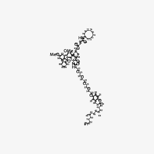 COc1ccc(C(OC[C@H](NC(=O)CCOCCOCCOCCOCCOc2c(C)c(C)c3c(c2C)CC[C@@](C)(CCC[C@H](C)CCC[C@H](C)CCCC(C)C)O3)C(=O)N2CCC(COC(=O)CCC(=O)NC3CCCCCCCCC3)CC2)(c2ccccc2)c2ccc(OC)cc2)cc1